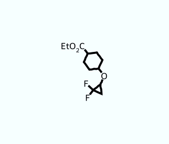 CCOC(=O)C1CCC(OC2CC2(F)F)CC1